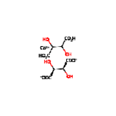 O=C(O)C(O)C(O)C(=O)O.O=C([O-])[C@@H](O)[C@H](O)C(=O)[O-].[Ca+2]